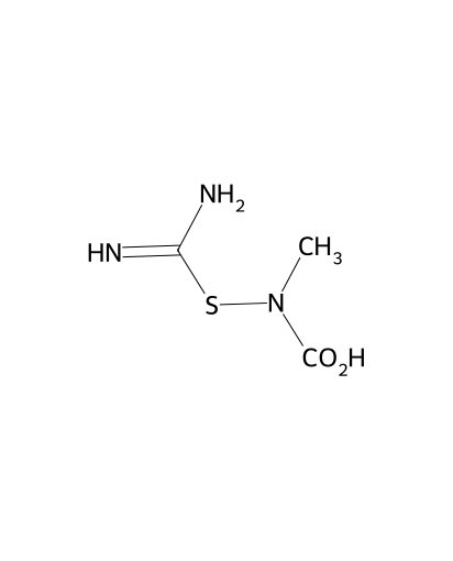 CN(SC(=N)N)C(=O)O